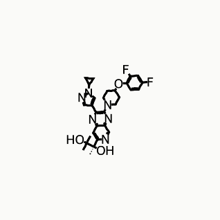 CC(C)(O)[C@](C)(O)c1cc2nc(-c3cnn(C4CC4)c3)c(N3CCC(Oc4ccc(F)cc4F)CC3)nc2cn1